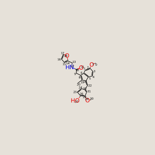 COc1ccc2c(c1)C(CC(=O)NCc1ccco1)=C(C)C2=Cc1ccc(O)c(OC)c1